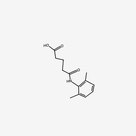 Cc1cccc(C)c1NC(=O)CCCC(=O)O